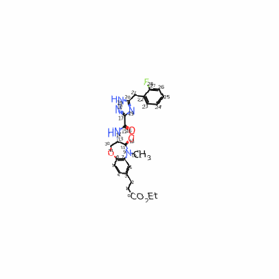 CCOC(=O)CCc1ccc2c(c1)N(C)C(=O)[C@@H](NC(=O)c1n[nH]c(Cc3ccccc3F)n1)CO2